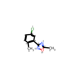 Cc1nc(-c2cc(Cl)ccc2C)no1